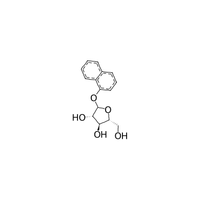 OC[C@H]1OC(Oc2cccc3ccccc23)[C@@H](O)[C@@H]1O